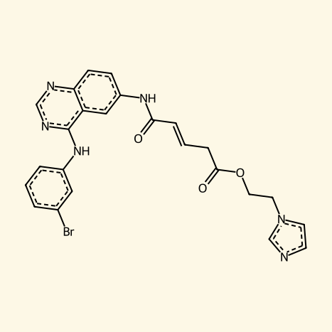 O=C(C=CCC(=O)OCCn1ccnc1)Nc1ccc2ncnc(Nc3cccc(Br)c3)c2c1